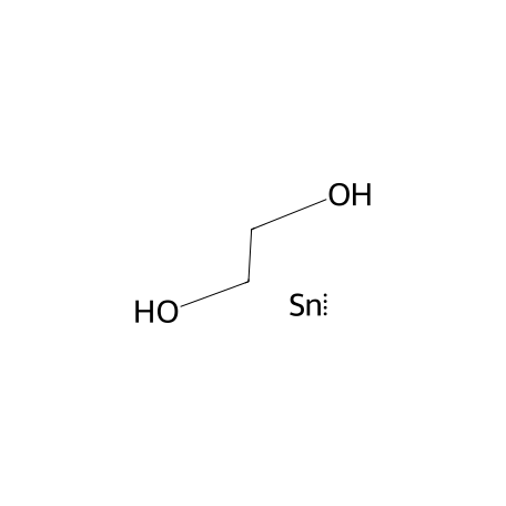 OCCO.[Sn]